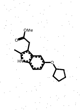 COC(=O)Cc1c(C)[nH]c2ccc(OC3CCCC3)cc12